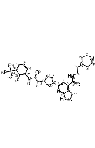 O=C(Nc1ncc(-c2cc(C(=O)NCCN3CCOCC3)c3cn[nH]c3n2)s1)Nc1cccc(C(F)(F)F)c1F